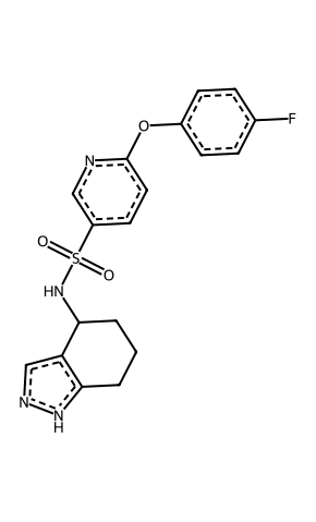 O=S(=O)(NC1CCCc2[nH]ncc21)c1ccc(Oc2ccc(F)cc2)nc1